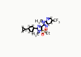 CCS(=O)(=O)c1c(-c2nc3cc(C(F)(F)F)cnc3n2C)nc(-c2ccc(C3CC3)cc2)n1C